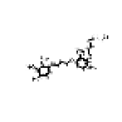 CCCc1c(SCCCOc2ccc(C(C)=O)c(OCCCC(=O)OCC)c2CCC)ccc(C(C)=O)c1O